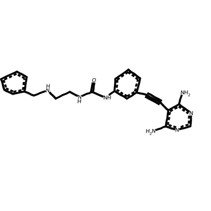 Nc1ncnc(N)c1C#Cc1cccc(NC(=O)NCCNCc2ccccc2)c1